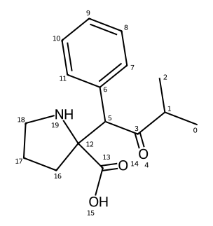 CC(C)C(=O)C(c1ccccc1)C1(C(=O)O)CCCN1